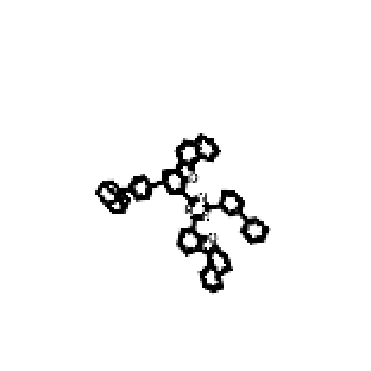 c1ccc(-c2cccc(-c3nc(-c4cc(-c5ccc(C67CC8CC(CC(C8)C6)C7)cc5)cc5c4oc4c6ccccc6ccc54)nc(-c4cccc5c4oc4ccc6ccccc6c45)n3)c2)cc1